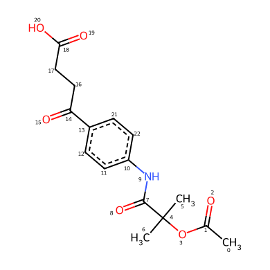 CC(=O)OC(C)(C)C(=O)Nc1ccc(C(=O)CCC(=O)O)cc1